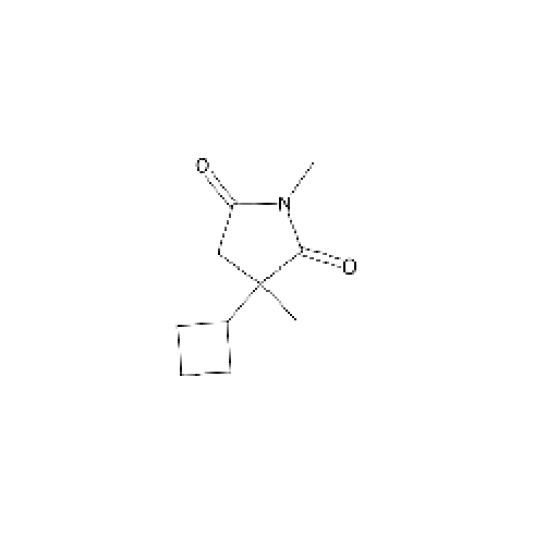 CN1C(=O)CC(C)(C2CCC2)C1=O